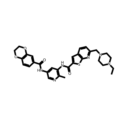 CCN1CCN(Cc2ccc3cc(C(=O)Nc4cc(NC(=O)c5ccc6c(c5)OCCO6)cnc4C)sc3n2)CC1